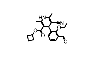 CCOc1c(C=O)cccc1C1C(C#N)=C(C)NC(C)=C1C(=O)OC1CCC1